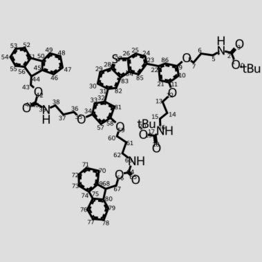 CC(C)(C)OC(=O)NCCCOc1cc(OCCCNC(=O)OC(C)(C)C)cc(-c2ccc3sc4ccc(-c5cc(OCCCNC(=O)OCC6c7ccccc7-c7ccccc76)cc(OCCCNC(=O)OCC6c7ccccc7-c7ccccc76)c5)cc4c3c2)c1